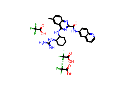 Cc1ccc2nc(C(=O)Nc3ccc4ncccc4c3)nc(NC3CCCCC3NC(=N)N)c2c1.O=C(O)C(F)(F)F.O=C(O)C(F)(F)F.O=C(O)C(F)(F)F